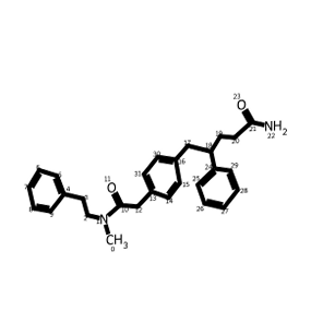 CN(CCc1ccccc1)C(=O)Cc1ccc(CC(CCC(N)=O)c2ccccc2)cc1